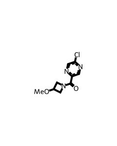 COC1CN(C(=O)c2cnc(Cl)cn2)C1